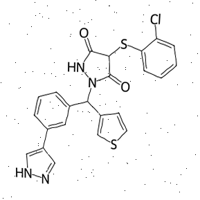 O=C1NN(C(c2ccsc2)c2cccc(-c3cn[nH]c3)c2)C(=O)C1Sc1ccccc1Cl